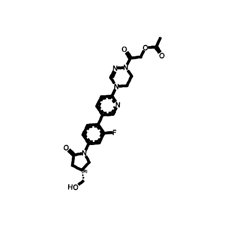 CC(=O)OCC(=O)N1CCN(c2ccc(-c3ccc(N4C[C@H](CO)CC4=O)cc3F)cn2)C=N1